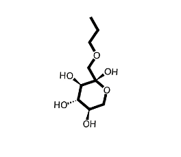 CCCOC[C@]1(O)OC[C@@H](O)[C@H](O)[C@H]1O